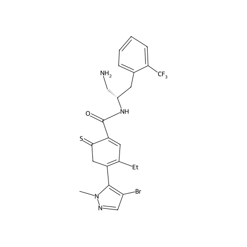 CCC1=C(c2c(Br)cnn2C)CC(=S)C(C(=O)N[C@H](CN)Cc2ccccc2C(F)(F)F)=C1